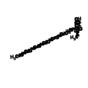 CCCCOC(=O)[C@H](Cc1ccc(O)cc1)NC(=O)CCOCCOCCOCCOCCOCCOCCOCCOCCOCCOCCOCCOCCC